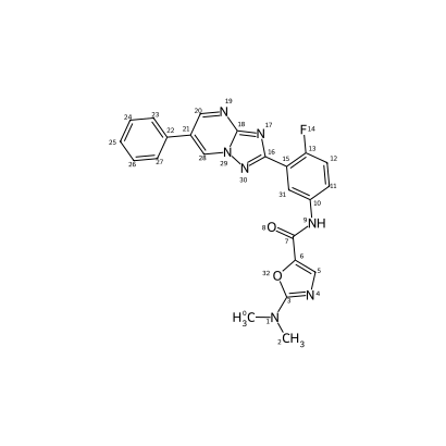 CN(C)c1ncc(C(=O)Nc2ccc(F)c(-c3nc4ncc(-c5ccccc5)cn4n3)c2)o1